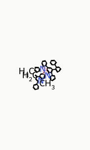 C=C1C=C(c2ccccc2)N(C)c2cc3c(cc21)B1c2c(cc(-c4ccccc4-c4ccccc4)c4c5ccccc5n-3c24)-c2ccccc2N1c1ccc(C)cc1